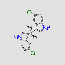 [2H]C([2H])(c1c[nH]c2ccc(Cl)cc12)c1c[nH]c2ccc(Cl)cc12